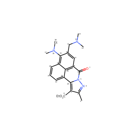 CCOC(=O)c1c(C)nn2c(=O)c3cc(CN(C)C)c(N(C)CC)c4cccc(c43)c12